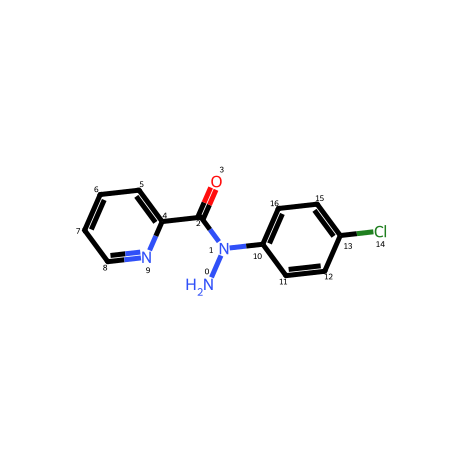 NN(C(=O)c1ccccn1)c1ccc(Cl)cc1